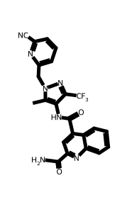 Cc1c(NC(=O)c2cc(C(N)=O)nc3ccccc23)c(C(F)(F)F)nn1Cc1cccc(C#N)n1